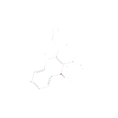 CC[S+]([O-])c1oc2ccccc2c(=O)c1CO